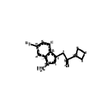 Cn1cc(CC(=O)N2CCC2)c2ccc(F)cc21